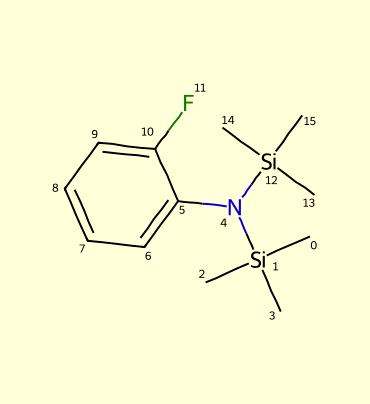 C[Si](C)(C)N(c1ccccc1F)[Si](C)(C)C